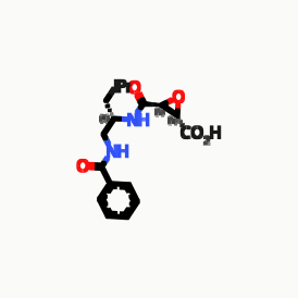 CC(C)C[C@@H](CNC(=O)c1ccccc1)NC(=O)[C@H]1O[C@@H]1C(=O)O